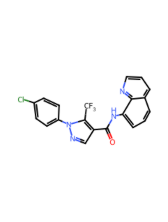 O=C(Nc1cccc2cccnc12)c1cnn(-c2ccc(Cl)cc2)c1C(F)(F)F